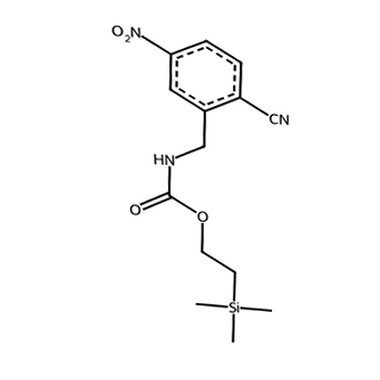 C[Si](C)(C)CCOC(=O)NCc1cc([N+](=O)[O-])ccc1C#N